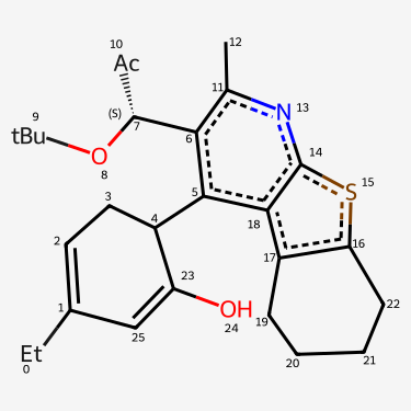 CCC1=CCC(c2c([C@H](OC(C)(C)C)C(C)=O)c(C)nc3sc4c(c23)CCCC4)C(O)=C1